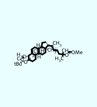 COCOC(C)(C)C/C=C/[C@@H](C)[C@H]1CC[C@H]2[C@@H]3CC=C4CC(O[Si](C)(C)C(C)(C)C)CC[C@]4(C)[C@H]3CC[C@]12C